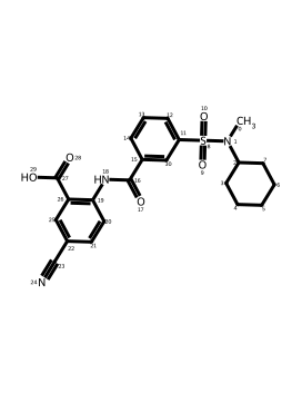 CN(C1CCCCC1)S(=O)(=O)c1cccc(C(=O)Nc2ccc(C#N)cc2C(=O)O)c1